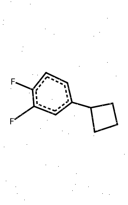 Fc1ccc([C]2CCC2)cc1F